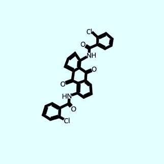 O=C(Nc1cccc2c1C(=O)c1cccc(NC(=O)c3ccccc3Cl)c1C2=O)c1ccccc1Cl